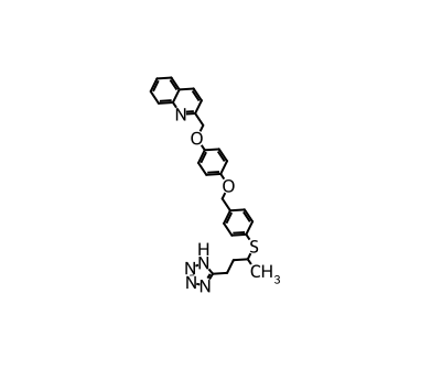 CC(CCc1nnn[nH]1)Sc1ccc(COc2ccc(OCc3ccc4ccccc4n3)cc2)cc1